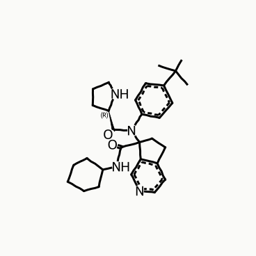 CC(C)(C)c1ccc(N(C(=O)[C@H]2CCCN2)C2(C(=O)NC3CCCCC3)CCc3ccncc32)cc1